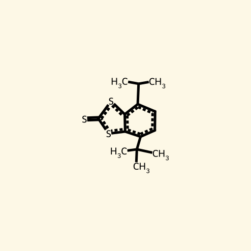 CC(C)c1ccc(C(C)(C)C)c2sc(=S)sc12